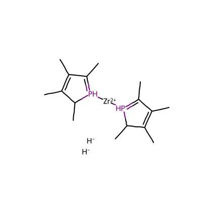 CC1=C(C)C(C)[PH]([Zr+2][PH]2=C(C)C(C)=C(C)C2C)=C1C.[H-].[H-]